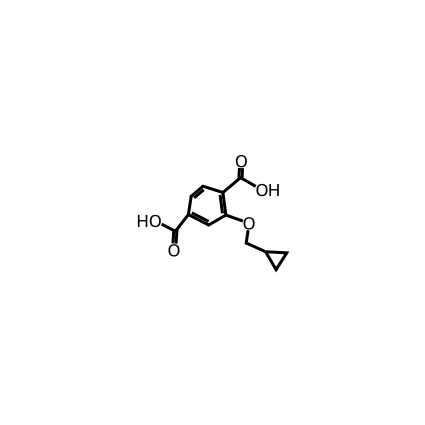 O=C(O)c1ccc(C(=O)O)c(OCC2CC2)c1